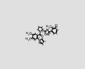 Cc1cc(C(=O)N2CCC[C@H]2c2nc(-c3cccc(Cl)c3C)no2)c(-n2cccn2)cc1C